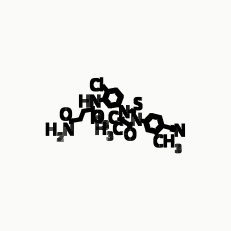 Cc1cc(N2C(=O)C(C)(C)N(c3ccc(Cl)c(NC(=O)CCC(N)=O)c3)C2=S)ccc1C#N